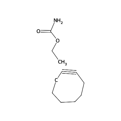 C1#CCCCCCC1.CCOC(N)=O